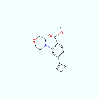 COC(=O)c1ccc(C2=CCC2)cc1N1CCOCC1